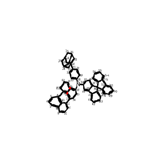 c1ccc(-c2cccc3cccc(-c4ccc(N(c5ccc(C67CC8CC(CC(C8)C6)C7)cc5)c5ccc6c(c5)-c5ccccc5C65c6ccccc6-c6ccccc65)cc4)c23)cc1